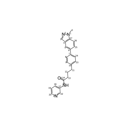 Cn1ncc2cc(-c3ccc(CCCC(=O)Nc4cccnc4)cc3)ccc21